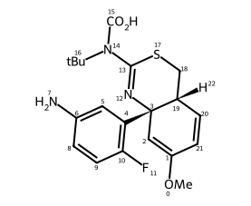 COC1=C[C@]2(c3cc(N)ccc3F)N=C(N(C(=O)O)C(C)(C)C)SC[C@@H]2C=C1